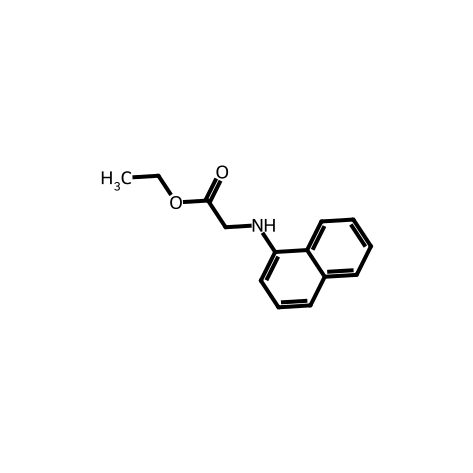 CCOC(=O)CNc1cccc2ccccc12